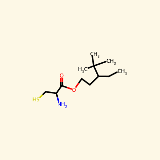 CCC(CCOC(=O)C(N)CS)C(C)(C)C